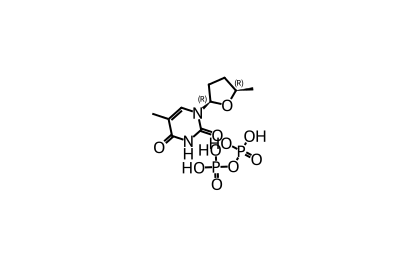 Cc1cn([C@H]2CC[C@@H](C)O2)c(=O)[nH]c1=O.O=P(O)(O)OP(=O)(O)O